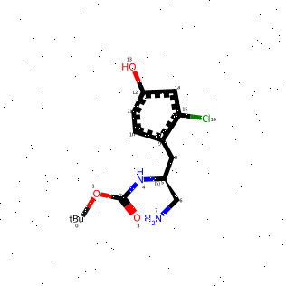 CC(C)(C)OC(=O)N[C@H](CN)Cc1ccc(O)cc1Cl